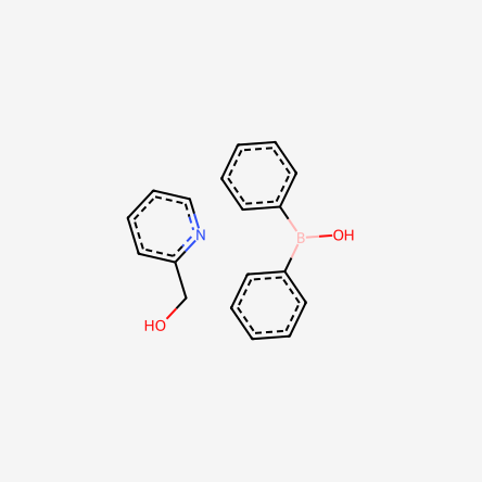 OB(c1ccccc1)c1ccccc1.OCc1ccccn1